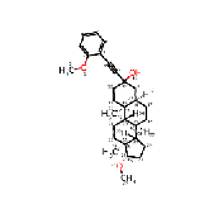 COc1ccccc1C#C[C@@]1(O)CC[C@@]2(C)[C@H](CC[C@@H]3[C@@H]2CC[C@]2(C)[C@@H](OC)CC[C@@H]32)C1